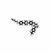 CCCCCOc1ccc(-c2cnc(-c3ccc(CC(C=O)NC(=O)c4ccc(C(C)(C)C)cc4)cc3)nc2)cc1